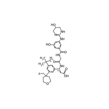 CC(C)(C)c1cc([C@H](CC(=O)O)NC(=O)CNC(=O)c2cc(O)cc(NC3=NCC(O)CN3)c2)cc(C2(CF)CCOCC2)c1